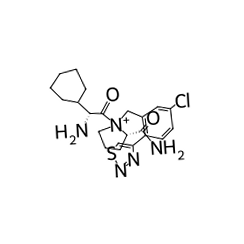 NC(=O)[C@@H]1CCC[N+]1(Cc1cc(Cl)ccc1-c1csnn1)C(=O)[C@H](N)C1CCCCC1